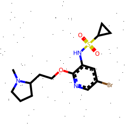 CN1CCCC1CCOc1ncc(Br)cc1NS(=O)(=O)C1CC1